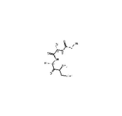 CCCCCCCCCCCC(N)C(=O)[C@@H](NC(=O)[C@@H](NC(=O)OC(C)(C)C)C(C)C)C(C)C